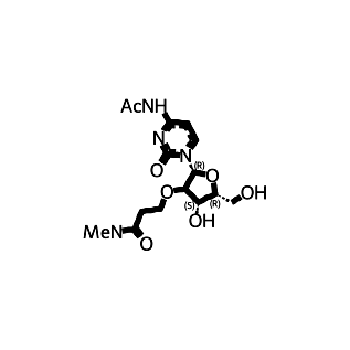 CNC(=O)CCOC1[C@@H](O)[C@@H](CO)O[C@H]1n1ccc(NC(C)=O)nc1=O